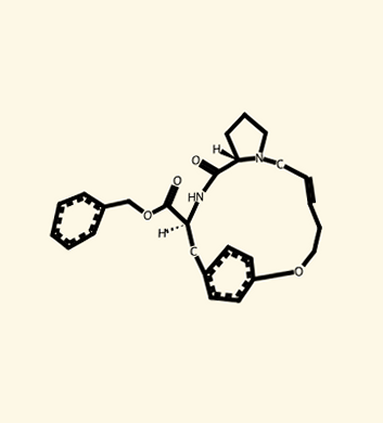 O=C(OCc1ccccc1)[C@@H]1Cc2ccc(cc2)OCC/C=C/CN2CCC[C@H]2C(=O)N1